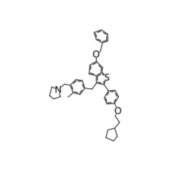 Cc1cc(Cc2c(-c3ccc(OCCC4CCCC4)cc3)sc3cc(OCc4ccccc4)ccc23)ccc1CN1CCCC1